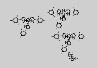 Cc1cc(C)c(-c2ccn([BH-](n3ccc(-c4c(C)cc(C)cc4C)n3)n3ccc(-c4c(C)cc(C)cc4C)n3)n2)c(C)c1.Cc1cc(C)c(-c2ccn([BH-](n3ccc(-c4c(C)cc(C)cc4C)n3)n3ccc(-c4c(C)cc(C)cc4C)n3)n2)c(C)c1.Cc1cc(C)c(-c2ccn([BH-](n3ccc(-c4c(C)cc(C)cc4C)n3)n3ccc(-c4c(C)cc(C)cc4C)n3)n2)c(C)c1.[Cl-].[Cl-].[Cl-].[Zr+3]